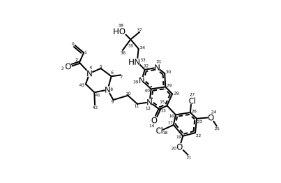 C=CC(=O)N1CC(C)N(CCCn2c(=O)c(-c3c(Cl)c(OC)cc(OC)c3Cl)cc3cnc(NCC(C)(C)O)nc32)C(C)C1